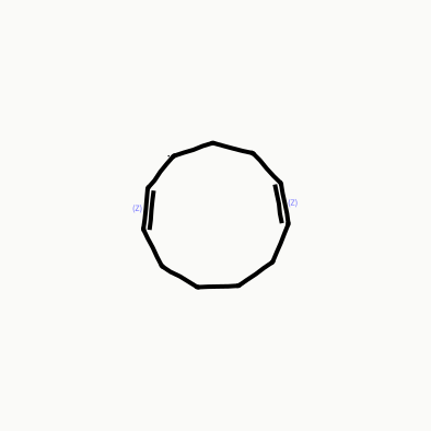 [CH]1/C=C\CCCC/C=C\CC1